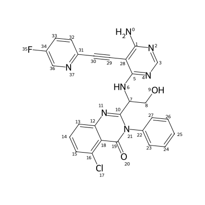 Nc1ncnc(NC(CO)c2nc3cccc(Cl)c3c(=O)n2-c2ccccc2)c1C#Cc1ccc(F)cn1